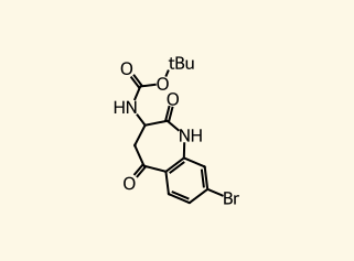 CC(C)(C)OC(=O)NC1CC(=O)c2ccc(Br)cc2NC1=O